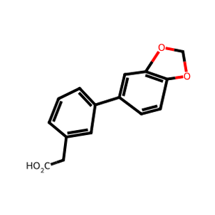 O=C(O)Cc1cccc(-c2ccc3c(c2)OCO3)c1